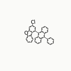 Clc1cc(-c2c3ccccc3c(-c3ccccc3)c3ccccc23)c2c(c1)oc1ccccc12